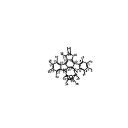 Cc1c(C)c(C)c2c(c1C)c1c3c(c4c5c(C)c(C)c(C)c(C)c5n5c4c1n2C1(C)OC5(C)C(C)C1C)C(C)NC3